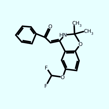 CC1(C)N/C(=C\C(=O)c2ccccc2)c2cc(OC(F)F)ccc2O1